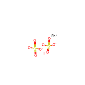 O=S(=O)([O-])[O-].O=S(=O)([O-])[O-].[B+3].[Rb+]